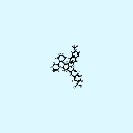 CC(C)c1ccc2cc3c(cc2c1)c1cc(C2=C(c4ccccc4)CCC=C2)cc2c4cc5cc(C(C)C)ccc5cc4n3c12